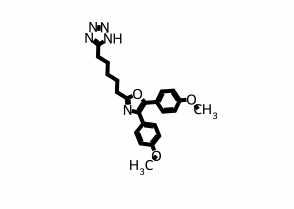 COc1ccc(-c2nc(CCCCCc3nnn[nH]3)oc2-c2ccc(OC)cc2)cc1